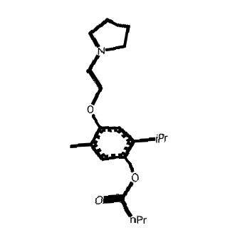 CCCC(=O)Oc1cc(C)c(OCCN2CCCC2)cc1C(C)C